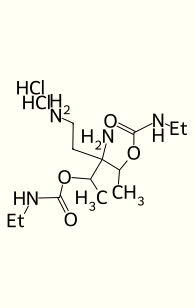 CCNC(=O)OC(C)C(N)(CCN)C(C)OC(=O)NCC.Cl.Cl